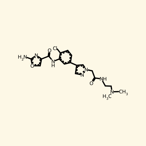 CN(C)CCNC(=O)Cn1cc(-c2ccc(Cl)c(NC(=O)c3coc(N)n3)c2)cn1